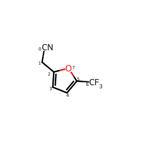 N#CCc1ccc(C(F)(F)F)o1